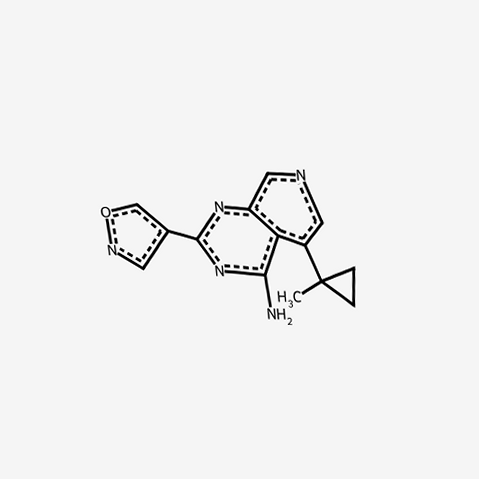 CC1(c2cncc3nc(-c4cnoc4)nc(N)c23)CC1